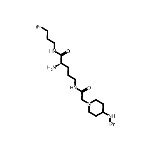 CC(C)CCCNC(=O)[C@H](N)CCCNC(=O)CN1CCC(NC(C)C)CC1